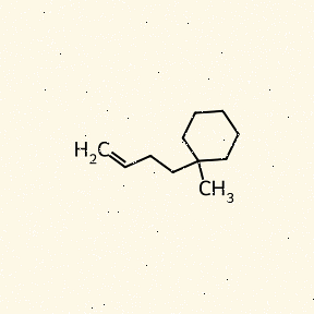 C=CCCC1(C)CCCCC1